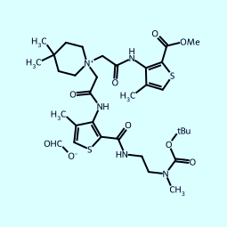 COC(=O)c1scc(C)c1NC(=O)C[N+]1(CC(=O)Nc2c(C)csc2C(=O)NCCN(C)C(=O)OC(C)(C)C)CCC(C)(C)CC1.O=C[O-]